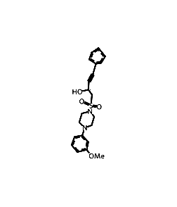 COc1cccc(N2CCN(S(=O)(=O)C[C](O)C#Cc3ccccc3)CC2)c1